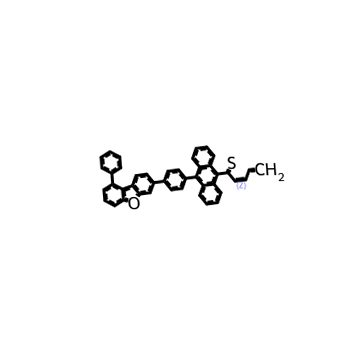 C=C/C=C\C(=S)c1c2ccccc2c(-c2ccc(-c3ccc4c(c3)oc3cccc(-c5ccccc5)c34)cc2)c2ccccc12